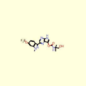 Cn1nc(-c2cnc3[nH]cc(OC(=O)NC(C)(C)CO)c3n2)c2ccc(OC(F)(F)F)cc21